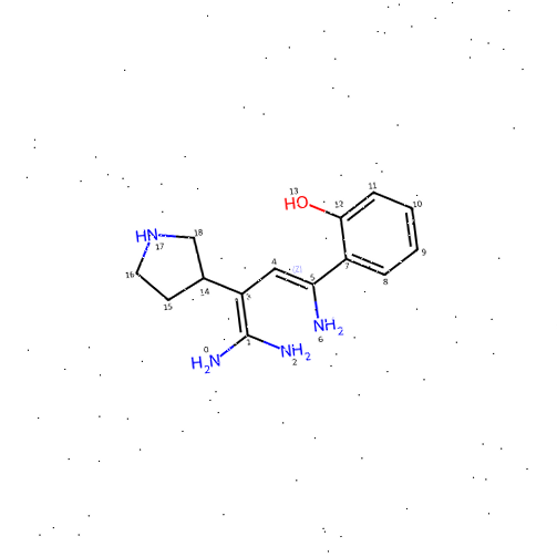 NC(N)=C(/C=C(\N)c1ccccc1O)C1CCNC1